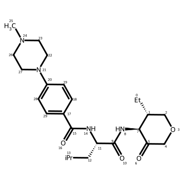 CC[C@@H]1COCC(=O)[C@H]1NC(=O)[C@H](CC(C)C)NC(=O)c1ccc(N2CCN(C)CC2)cc1